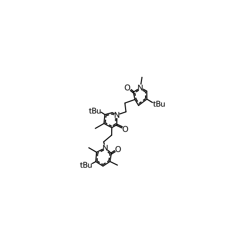 Cc1c(C(C)(C)C)cn(CCc2cc(C(C)(C)C)cn(C)c2=O)c(=O)c1CCn1c(C)c(C(C)(C)C)cc(C)c1=O